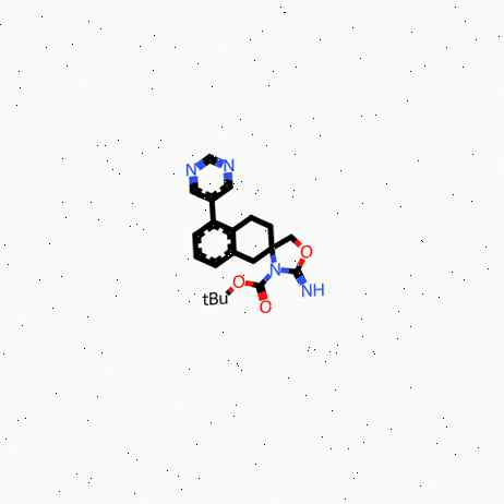 CC(C)(C)OC(=O)N1C(=N)OCC12CCc1c(cccc1-c1cncnc1)C2